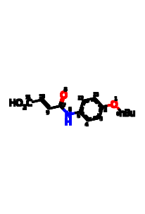 CCCCOc1ccc(NC(=O)/C=C/C(=O)O)cc1